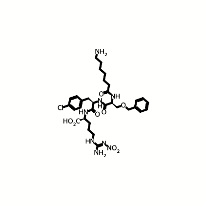 NCCCCCCC(=O)N[C@@H](COCc1ccccc1)C(=O)N[C@H](Cc1ccc(Cl)cc1)C(=O)N[C@@H](CCCNC(N)=N[N+](=O)[O-])C(=O)O